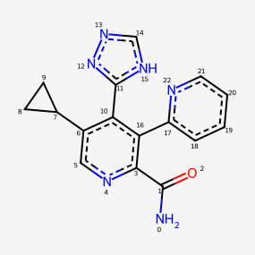 NC(=O)c1ncc(C2CC2)c(-c2nnc[nH]2)c1-c1ccccn1